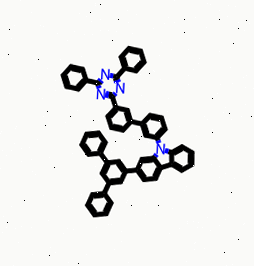 c1ccc(-c2cc(-c3ccccc3)cc(-c3ccc4c5ccccc5n(-c5cccc(-c6cccc(-c7nc(-c8ccccc8)nc(-c8ccccc8)n7)c6)c5)c4c3)c2)cc1